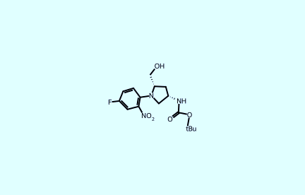 CC(C)(C)OC(=O)N[C@H]1C[C@@H](CO)N(c2ccc(F)cc2[N+](=O)[O-])C1